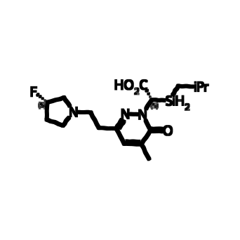 Cc1cc(CCN2CC[C@H](F)C2)nn([C@@H]([SiH2]CC(C)C)C(=O)O)c1=O